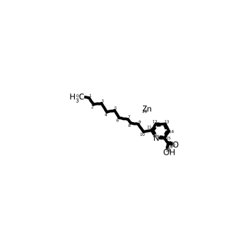 CCCCCCCCCCCc1cccc(C(=O)O)n1.[Zn]